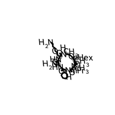 CCCCCC[C@H]1OC[C@@H](C)NC(=O)[C@H](CCOCCCN)NC(=O)[C@H](CN)NC(=O)[C@H](C2CCCCCC2)NC(=O)[C@H](CCC)N(C)C(=O)[C@@H]1C